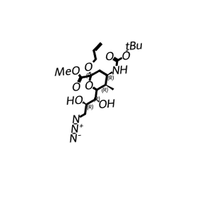 C=CCO[C@]1(C(=O)OC)C[C@@H](NC(=O)OC(C)(C)C)[C@@H](C)C([C@H](O)[C@H](O)CN=[N+]=[N-])O1